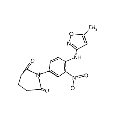 Cc1cc(Nc2ccc(N3C(=O)CCCC3=O)cc2[N+](=O)[O-])no1